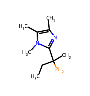 CCC(C)(P)c1nc(C)c(C)n1C